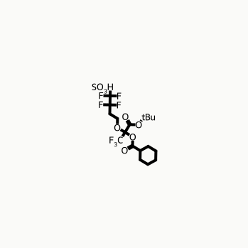 CC(C)(C)OC(=O)C(OCCC(F)(F)C(F)(F)S(=O)(=O)O)(OC(=O)C1CCCCC1)C(F)(F)F